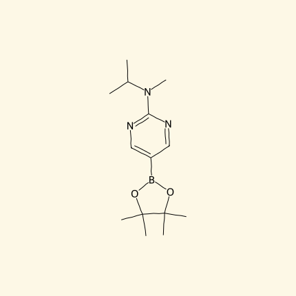 CC(C)N(C)c1ncc(B2OC(C)(C)C(C)(C)O2)cn1